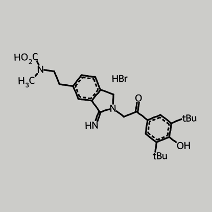 Br.CN(CCc1ccc2c(c1)C(=N)N(CC(=O)c1cc(C(C)(C)C)c(O)c(C(C)(C)C)c1)C2)C(=O)O